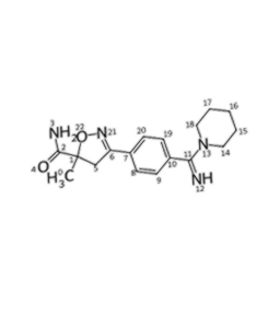 CC1(C(N)=O)CC(c2ccc(C(=N)N3CCCCC3)cc2)=NO1